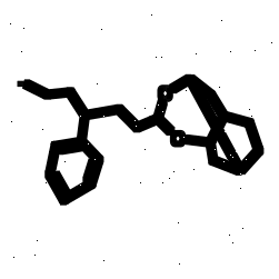 [CH2]CCC(CC[C]1OC2CC3CCC2CC3O1)c1ccccc1